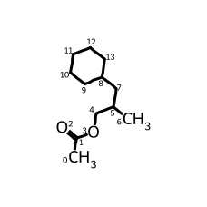 CC(=O)OCC(C)CC1CCCCC1